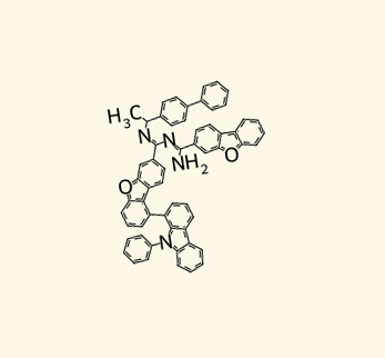 CC(/N=C(\N=C(/N)c1ccc2c(c1)oc1ccccc12)c1ccc2c(c1)oc1cccc(-c3cccc4c5ccccc5n(-c5ccccc5)c34)c12)c1ccc(-c2ccccc2)cc1